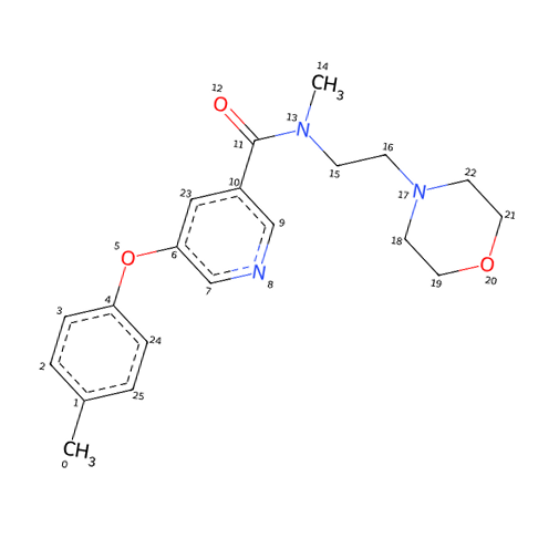 Cc1ccc(Oc2cncc(C(=O)N(C)CCN3CCOCC3)c2)cc1